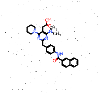 CN(C)c1nc(Cc2ccc(NC(=O)c3ccc4ccccc4c3)cc2)nc(N2CCCCC2)c1CC(=O)O